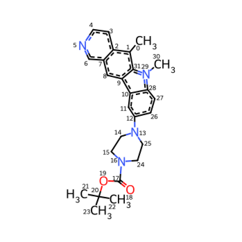 Cc1c2ccncc2cc2c3cc(N4CCN(C(=O)OC(C)(C)C)CC4)ccc3n(C)c12